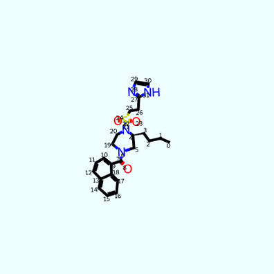 CCCC[C@H]1CN(C(=O)c2cccc3ccccc23)CCN1S(=O)(=O)CCc1ncc[nH]1